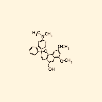 COc1cc(OC)c2cc(CO)c3c(c2c1)OC(c1ccccc1)(c1ccc(N(C)C)cc1)C=C3